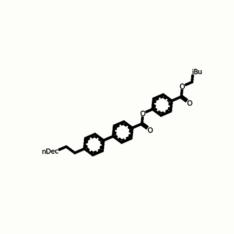 CCCCCCCCCCCCc1ccc(-c2ccc(C(=O)Oc3ccc(C(=O)OCC(C)CC)cc3)cc2)cc1